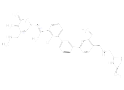 C=CC(=C)/C(=C\N(C)/N=C(\C)c1cccc(-c2cccc(-c3ccc(CNCC4CCC(=C)N4)c(C=C)n3)c2)c1Cl)CNC